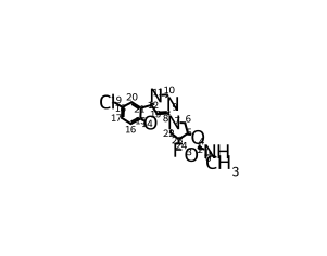 CNC(=O)OC1CN(c2ncnc3c2oc2ccc(Cl)cc23)CC1F